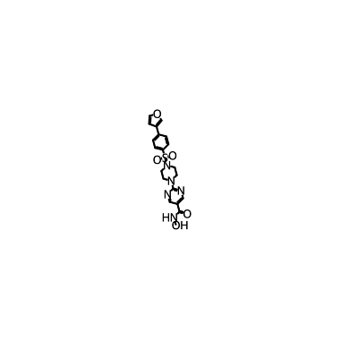 O=C(NO)c1cnc(N2CCN(S(=O)(=O)c3ccc(-c4ccoc4)cc3)CC2)nc1